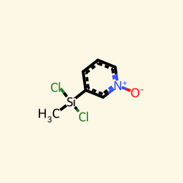 C[Si](Cl)(Cl)c1ccc[n+]([O-])c1